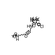 Cc1sc2c(c1C)C(c1ccc(Cl)cc1)=NC(CC(=O)NCCCN1CCN(C(=O)CCCCCNC(=O)OC(C)(C)C)CC1)c1nnc(C)n1-2